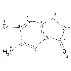 Cc1cc2c(nc1Cl)COC2=O